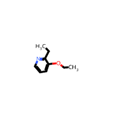 CCOc1cccnc1CC